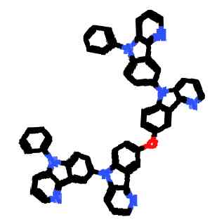 c1ccc(-n2c3ccc(-n4c5ccc(Oc6ccc7c(c6)c6ncccc6n7-c6ccc7c(c6)c6ncccc6n7-c6ccccc6)cc5c5ncccc54)cc3c3ncccc32)cc1